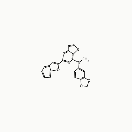 CN(c1ccc2c(c1)OCO2)c1nc(-c2cc3ccccc3o2)nc2ccsc12